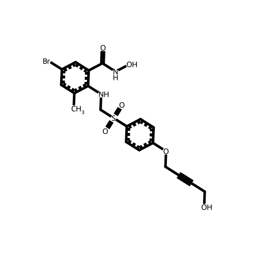 Cc1cc(Br)cc(C(=O)NO)c1NCS(=O)(=O)c1ccc(OCC#CCO)cc1